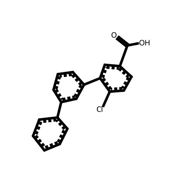 O=C(O)c1ccc(Cl)c(-c2cccc(-c3ccccc3)c2)c1